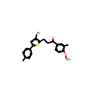 Cc1ccc(-c2cc(C(C)C)c(CCC(=O)c3ccc(OC(C)(C)C)c(C)c3)s2)cc1